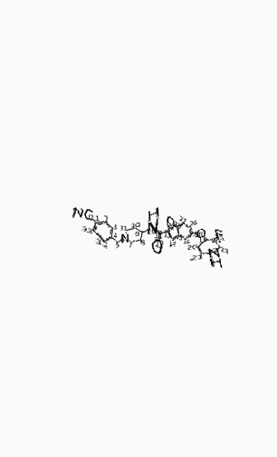 N#Cc1ccc(CN2CCC(NC(=O)c3cc4cc(OC5CCNCC5F)ccc4o3)CC2)cc1